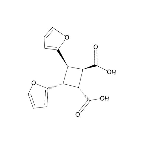 O=C(O)[C@H]1[C@H](C(=O)O)[C@H](c2ccco2)[C@H]1c1ccco1